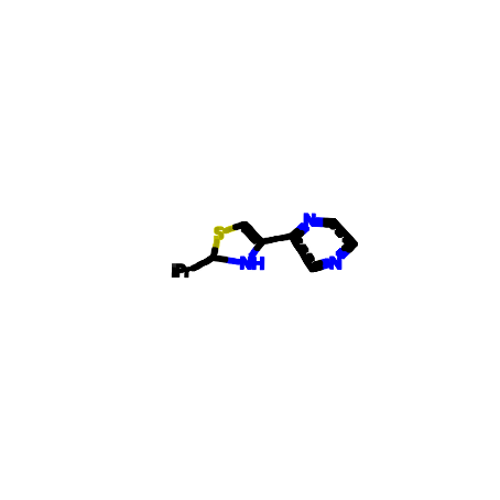 CC(C)C1NC(c2cnccn2)=CS1